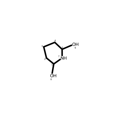 OC1CCCC(O)N1